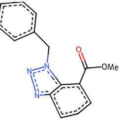 COC(=O)c1cccc2nnn(Cc3ccccc3)c12